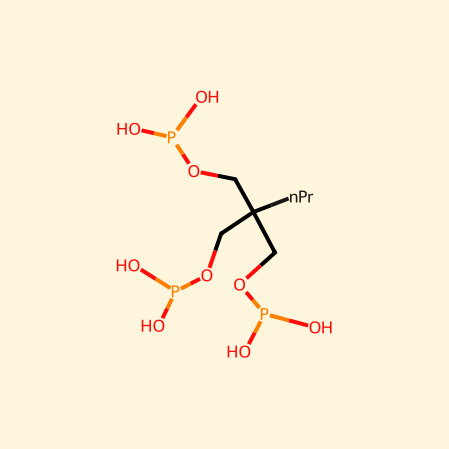 CCCC(COP(O)O)(COP(O)O)COP(O)O